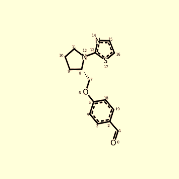 O=Cc1ccc(OC[C@@H]2CCCN2c2nccs2)cc1